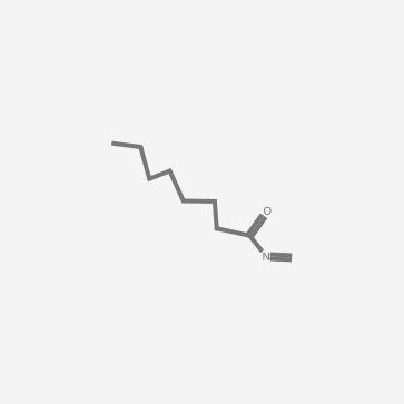 C=NC(=O)CCCCCCC